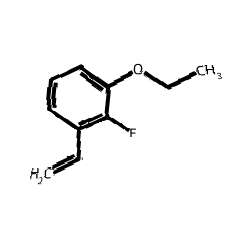 C=[C]c1cccc(OCC)c1F